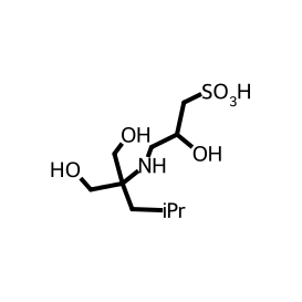 CC(C)CC(CO)(CO)NCC(O)CS(=O)(=O)O